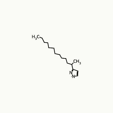 CCCCCCCCCCCC(C)C1=N[N]C=C1